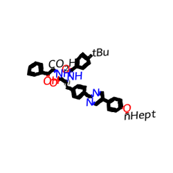 CCCCCCCOc1ccc(-c2cnc(-c3ccc(C[C@H](NC(=O)c4ccc(C(C)(C)C)cc4)C(=O)NC(C(=O)O)C(O)c4ccccc4)cc3)nc2)cc1